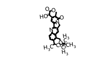 CC(C)c1ccc2nc3c(cc2c1COC(C)(C)C)Cn1c-3cc2c(c1=O)COC(=O)[C@H]2O